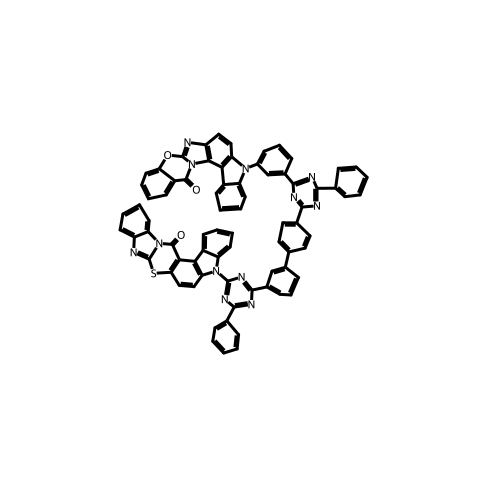 O=c1c2c(ccc3c2c2ccccc2n3-c2nc(-c3ccccc3)nc(-c3cccc(-c4ccc(-c5nc(-c6ccccc6)nc(-c6cccc(-n7c8ccccc8c8c7ccc7nc9oc%10ccccc%10c(=O)n9c78)c6)n5)cc4)c3)n2)sc2nc3ccccc3n12